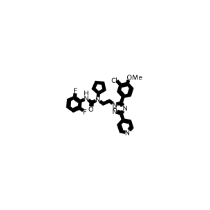 COc1ccc(-c2nc(-c3ccncc3)nn2CCN(C(=O)Nc2c(F)cccc2F)C2CCCC2)cc1Cl